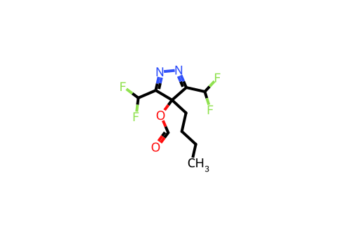 CCCCC1(OC=O)C(C(F)F)=NN=C1C(F)F